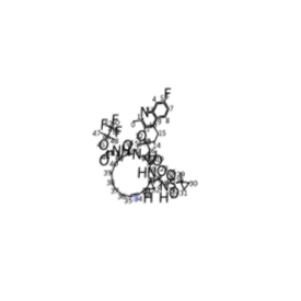 Cc1nc2cc(F)ccc2c2c1O[C@]1(CC2)C[C@H]2C(=O)N[C@]3(C(=O)NS(=O)(=O)C4(C)CC4)C[C@H]3/C=C\CCCCC[C@H](NC(=O)OC(C)(C)C(F)(F)F)C(=O)N2C1